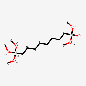 CO[Si](O)(CCCCCCCC[Si](OC)(OC)OC)OC